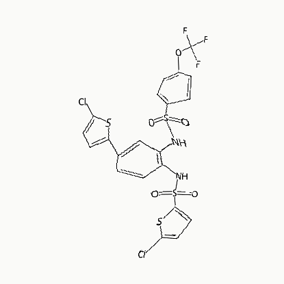 O=S(=O)(Nc1cc(-c2ccc(Cl)s2)ccc1NS(=O)(=O)c1ccc(Cl)s1)c1ccc(OC(F)(F)F)cc1